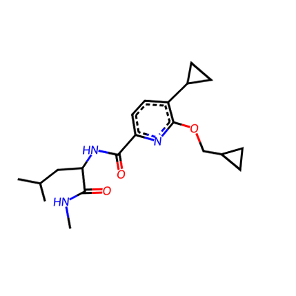 CNC(=O)C(CC(C)C)NC(=O)c1ccc(C2CC2)c(OCC2CC2)n1